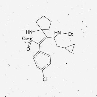 CCNC(CC1CC1)C1=C(c2ccc(Cl)cc2)S(=O)(=O)NC12CCCC2